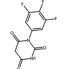 O=C1CC(=O)N(c2cc(F)c(F)c(F)c2)C(=O)N1